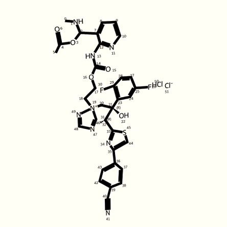 CNC(OC(C)=O)c1cccnc1NC(=O)OCC[N+]1(C[C@](O)(c2cc(F)ccc2F)[C@@H](C)c2nc(-c3ccc(C#N)cc3)cs2)C=NC=N1.Cl.[Cl-]